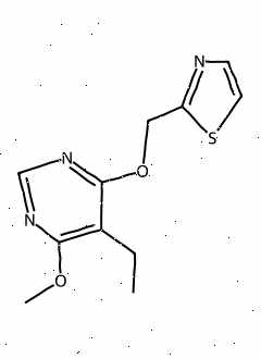 CCc1c(OC)ncnc1OCc1nccs1